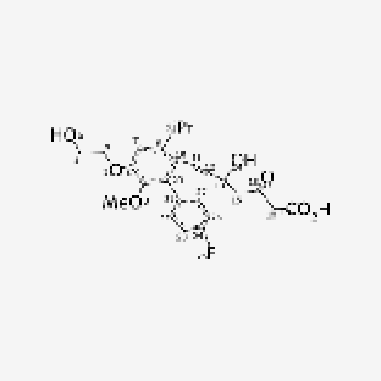 COc1c(OCCO)cc(C(C)C)c(C=CC(O)CC(=O)CC(=O)O)c1-c1ccc(F)cc1